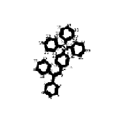 C(=C(c1ccccc1)c1ccccc1)c1ccc([Si](c2ccccc2)(c2ccccc2)c2ccccc2)cc1